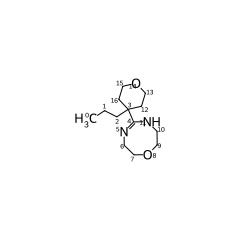 CCCC1(/C2=N/CCOCCN2)CCOCC1